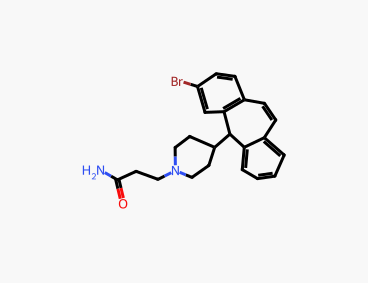 NC(=O)CCN1CCC(C2c3ccccc3C=Cc3ccc(Br)cc32)CC1